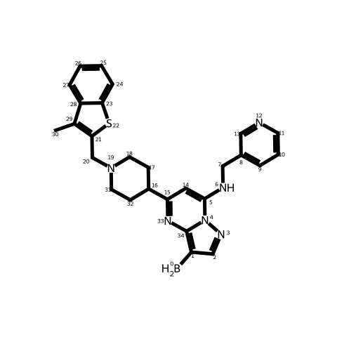 Bc1cnn2c(NCc3cccnc3)cc(C3CCN(Cc4sc5ccccc5c4C)CC3)nc12